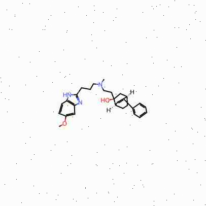 COc1ccc2[nH]c(CCCN(C)CC[C@]3(O)C[C@H]4CC[C@@H]3C=C4c3ccccc3)nc2c1